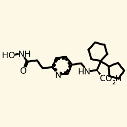 O=C(CCc1ccc(CN[C@H](C(=O)O)C2(C3CCCC3)CCCCC2)cn1)NO